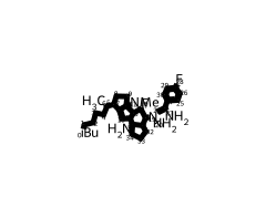 CCC(C)CCCCC(C)C1CCC2(NC)C1=CC1C2C(F)C(N(N)/C=C(\N)c2ccc(F)cc2)C2CCCC12N